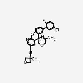 CC1(C#Cc2cnc3c(c2)[C@]2(COCC(N)=N2)c2cc(-c4cc(Cl)ccc4F)ccc2O3)COC1